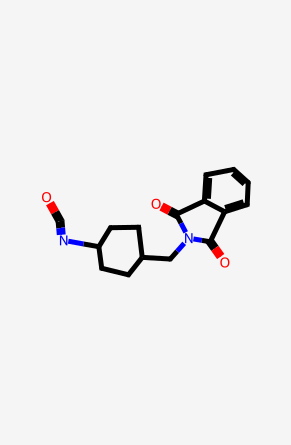 O=C=NC1CCC(CN2C(=O)c3ccccc3C2=O)CC1